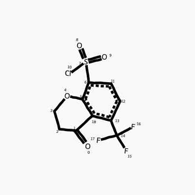 O=C1CCOc2c(S(=O)(=O)Cl)ccc(C(F)(F)F)c21